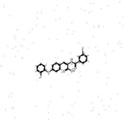 O=C(O)/C(=C\c1ccc(Oc2ccccc2I)cc1)NC(=O)c1cccc(F)c1